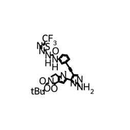 Cn1c(-c2nc(N)ncc2C#Cc2cccc(NC(=O)Nc3nnc(C(F)(F)F)s3)c2)cc2c1CCN(C(=O)OC(C)(C)C)C2=O